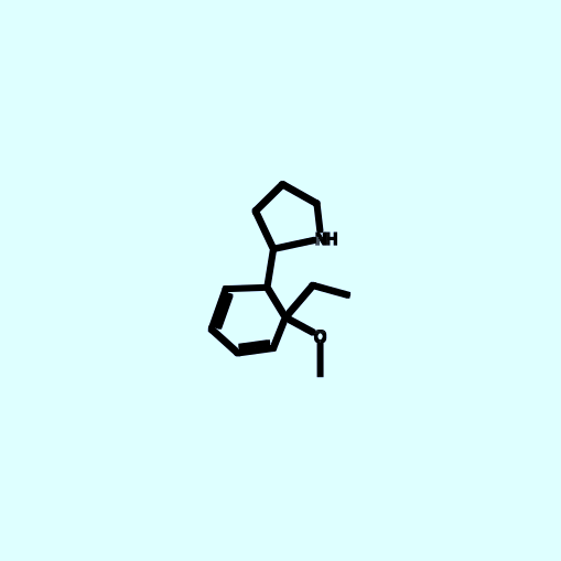 CCC1(OC)C=CC=CC1C1CCCN1